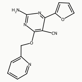 N#Cc1c(OCc2ccccn2)nc(N)nc1-c1ccco1